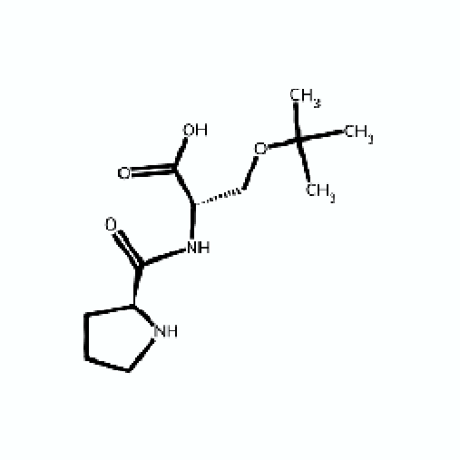 CC(C)(C)OC[C@H](NC(=O)[C@@H]1CCCN1)C(=O)O